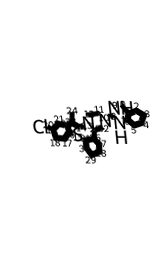 Cc1ccccc1NC(=N)N1CCN(c2sc3ccc(Cl)cc3c2C)C(c2ccccc2)C1